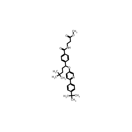 COC(=O)CCNC(=O)c1ccc(C(CCC(C)(C)C)Oc2ccc(-c3ccc(C(C)(C)C)cc3)nc2)cc1